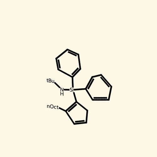 CCCCCCCCC1=C([Si](NC(C)(C)C)(c2ccccc2)c2ccccc2)CC=C1